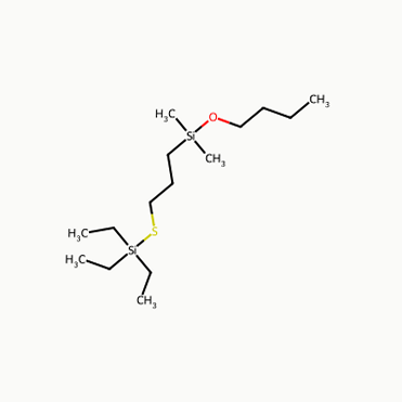 CCCCO[Si](C)(C)CCCS[Si](CC)(CC)CC